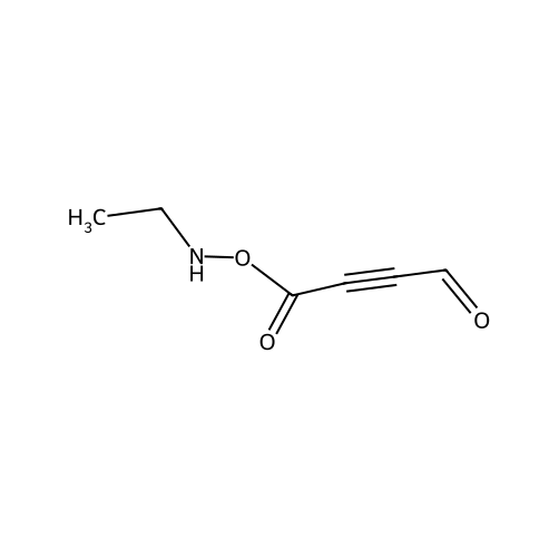 CCNOC(=O)C#CC=O